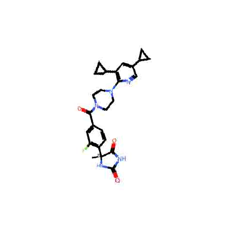 C[C@]1(c2ccc(C(=O)N3CCN(c4ncc(C5CC5)cc4C4CC4)CC3)cc2F)NC(=O)NC1=O